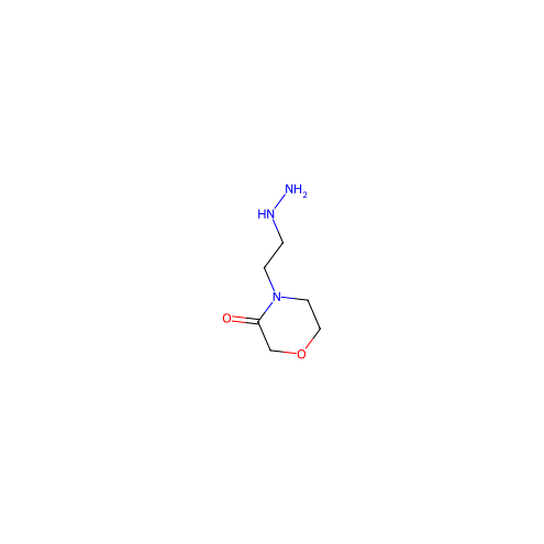 NNCCN1CCOCC1=O